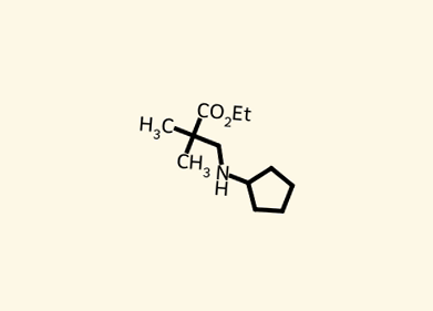 CCOC(=O)C(C)(C)CNC1CCCC1